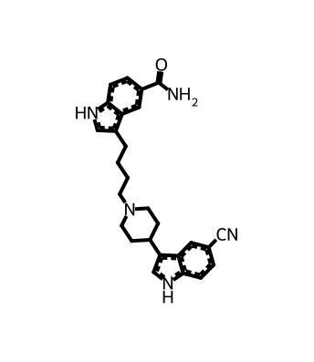 N#Cc1ccc2[nH]cc(C3CCN(CCCCc4c[nH]c5ccc(C(N)=O)cc45)CC3)c2c1